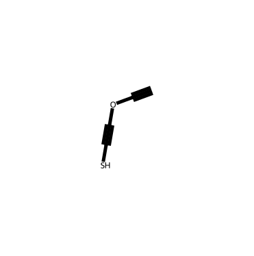 C#COC#CS